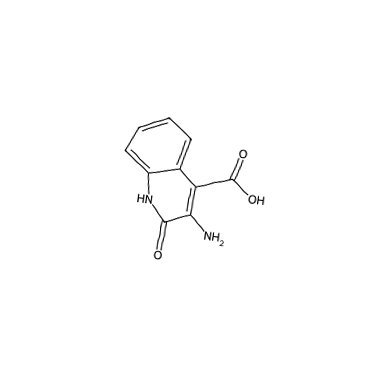 Nc1c(C(=O)O)c2ccccc2[nH]c1=O